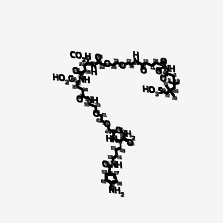 CC(C)(CC(=O)NS(=O)(=O)CCCC(=O)NCCOCCOCC(=O)N[C@@H](CCC(=O)N[C@H](CCC(=O)NCCOCCOCC(=O)N[C@@H](CCCCNC(=O)c1ccc(N)cc1)C(N)=O)C(=O)O)C(=O)O)CC(C)(C)CS(=O)(=O)O